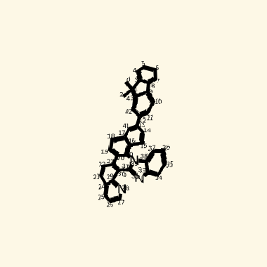 CC1(C)c2ccccc2-c2ccc(-c3ccc4c(ccc5c6ccc7cccnc7c6c6nc7ccccc7n6c45)c3)cc21